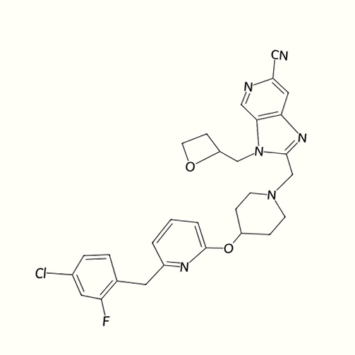 N#Cc1cc2nc(CN3CCC(Oc4cccc(Cc5ccc(Cl)cc5F)n4)CC3)n(CC3CCO3)c2cn1